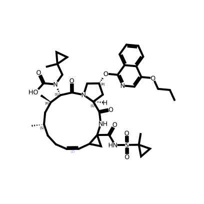 CCCOc1cnc(O[C@@H]2C[C@H]3C(=O)NC4(C(=O)NS(=O)(=O)C5(C)CC5)CC4/C=C\CC[C@H](C)C[C@@H](C)[C@H](N(CC4(C)CC4)C(=O)O)C(=O)N3C2)c2ccccc12